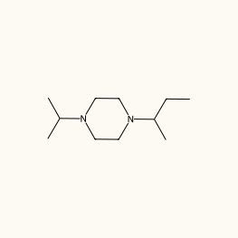 CCC(C)N1CCN(C(C)C)CC1